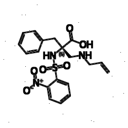 C=CCNC[C@](Cc1ccccc1)(NS(=O)(=O)c1ccccc1[N+](=O)[O-])C(=O)O